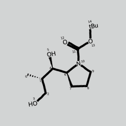 C[C@@H](CO)[C@@H](O)[C@@H]1CCCN1C(=O)OC(C)(C)C